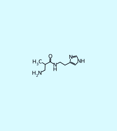 CC(CN)C(=O)NCCc1c[nH]cn1